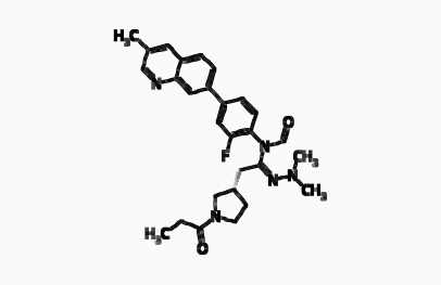 CCC(=O)N1CC[C@@H](C/C(=N/N(C)C)N(C=O)c2ccc(-c3ccc4cc(C)cnc4c3)cc2F)C1